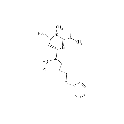 CNc1nc(N(C)CCCOc2ccccc2)cc(C)[n+]1C.[Cl-]